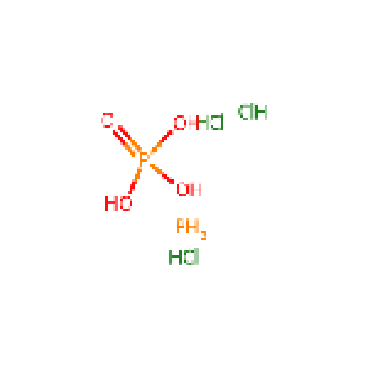 Cl.Cl.Cl.O=P(O)(O)O.P